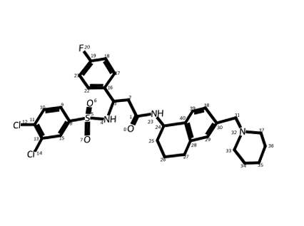 O=C(CC(NS(=O)(=O)c1ccc(Cl)c(Cl)c1)c1ccc(F)cc1)NC1CCCc2cc(CN3CCCCC3)ccc21